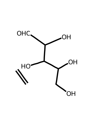 C=C.O=CC(O)C(O)C(O)CO